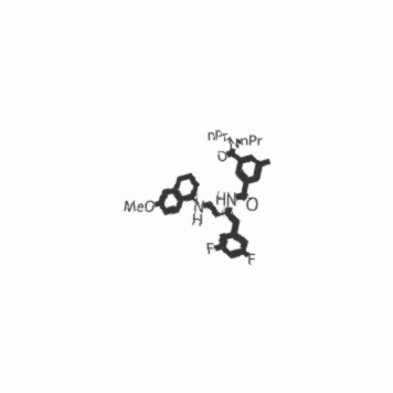 CCCN(CCC)C(=O)c1cc(C)cc(C(=O)N[C@H](CCN[C@@H]2CCCc3cc(OC)ccc32)Cc2cc(F)cc(F)c2)c1